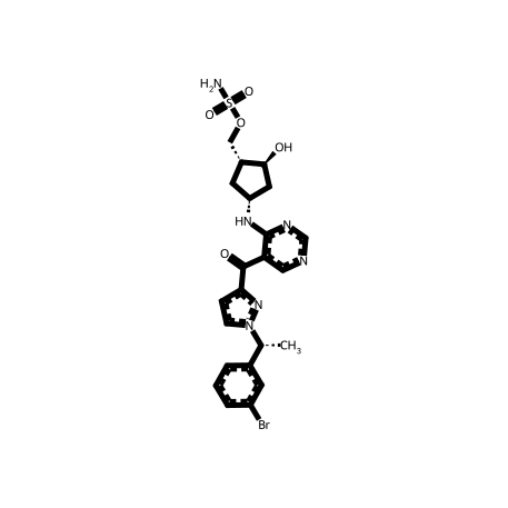 C[C@H](c1cccc(Br)c1)n1ccc(C(=O)c2cncnc2N[C@@H]2C[C@H](COS(N)(=O)=O)[C@@H](O)C2)n1